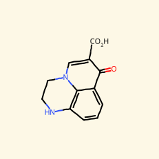 O=C(O)c1cn2c3c(cccc3c1=O)NCC2